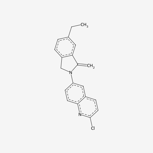 C=C1c2cc(CC)ccc2CN1c1ccc2nc(Cl)ccc2c1